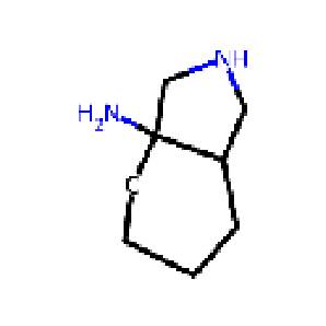 NC12CCCCC1CNC2